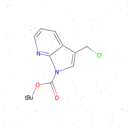 CC(C)(C)OC(=O)n1cc(CCl)c2cccnc21